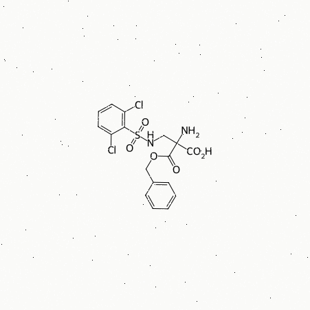 NC(CNS(=O)(=O)c1c(Cl)cccc1Cl)(C(=O)O)C(=O)OCc1ccccc1